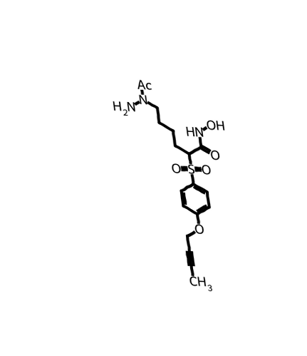 CC#CCOc1ccc(S(=O)(=O)C(CCCCN(N)C(C)=O)C(=O)NO)cc1